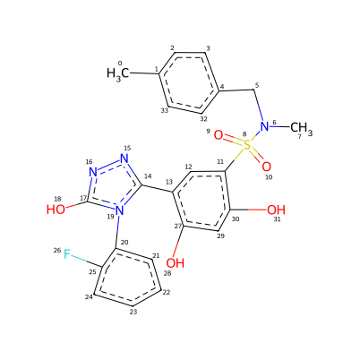 Cc1ccc(CN(C)S(=O)(=O)c2cc(-c3nnc(O)n3-c3ccccc3F)c(O)cc2O)cc1